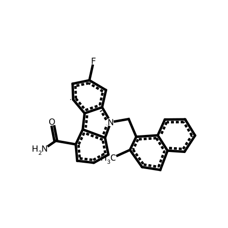 Cc1ccc2ccccc2c1Cn1c2cc(F)c[c]c2c2c(C(N)=O)cccc21